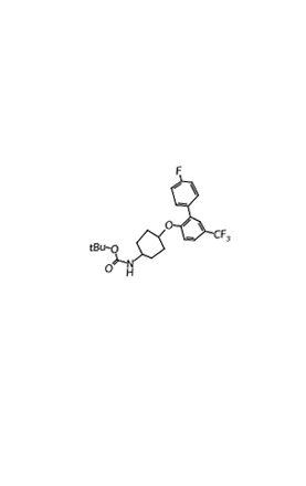 CC(C)(C)OC(=O)NC1CCC(Oc2ccc(C(F)(F)F)cc2-c2ccc(F)cc2)CC1